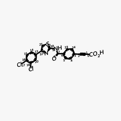 O=C(O)C#Cc1ccc(C(=O)Nc2nc(-c3ccc(Cl)c(Cl)c3)cs2)cc1